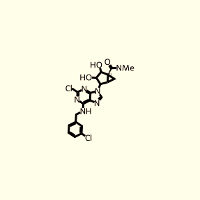 CNC(=O)[C@@]12CC1C(n1cnc3c(NCc4cccc(Cl)c4)nc(Cl)nc31)C(O)C2O